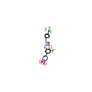 CS(=O)(=O)N1CC=C(c2cc(F)c(OC3CN(Cc4ccc(C(F)(F)F)cc4)C3)c(F)c2)CC1